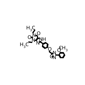 CCCn1c(=O)c2[nH]c(-c3ccc(OCc4nc(-c5ccccc5OC)no4)cc3)nc2n(CCC)c1=O